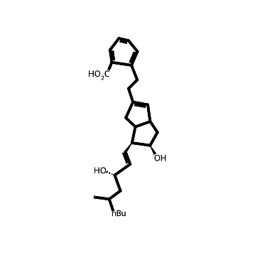 CCCCC(C)C[C@H](O)/C=C/[C@H]1C2CC(CCc3ccccc3C(=O)O)=CC2C[C@H]1O